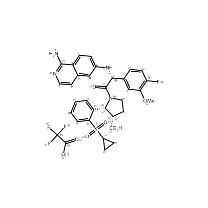 COc1cc([C@@H](Nc2ccc3c(N)nccc3c2)C(=O)N2CC[C@H](C(=O)O)[C@@H]2c2ccccc2S(=O)(=O)C2CC2)ccc1F.O=C(O)C(F)(F)F